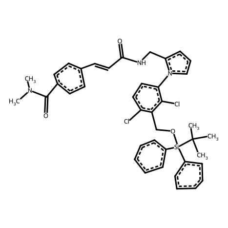 CN(C)C(=O)c1ccc(C=CC(=O)NCc2cccn2-c2ccc(Cl)c(CO[Si](c3ccccc3)(c3ccccc3)C(C)(C)C)c2Cl)cc1